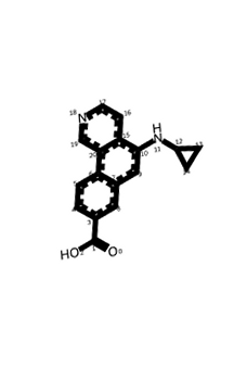 O=C(O)c1ccc2c(c1)cc(NC1CC1)c1ccncc12